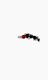 O=C(NC1CC1)c1ccc(-c2cnc(N3CCCC4(CCN([C@H]5CC[C@@H](O)CC5)C4=O)C3)c(Cl)c2)cc1